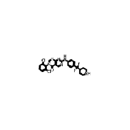 O=C1c2cnc(Nc3ccc(C(F)(F)C4CCNCC4)cc3)nc2SCN1c1c(Cl)cccc1Cl